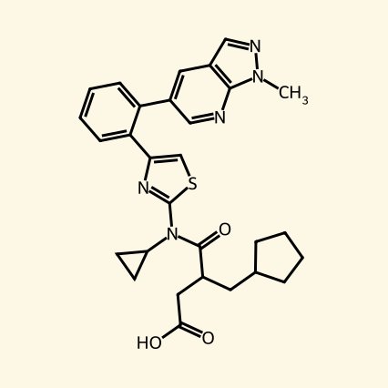 Cn1ncc2cc(-c3ccccc3-c3csc(N(C(=O)C(CC(=O)O)CC4CCCC4)C4CC4)n3)cnc21